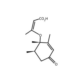 CC1=CC(=O)C[C@@H](C)[C@]1(C)O/C(C)=C\C(=O)O